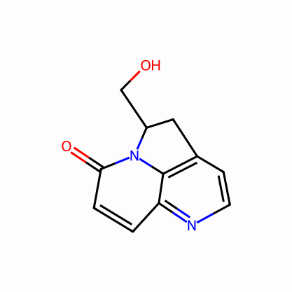 O=c1ccc2nccc3c2n1C(CO)C3